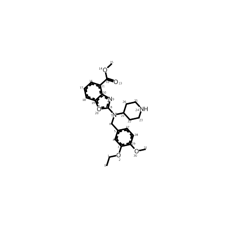 CCOc1cc(CN(c2nc3c(C(=O)OC)cccc3o2)C2CCNCC2)ccc1OC